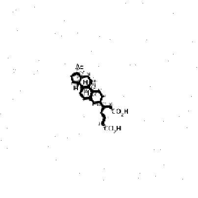 CC(=O)[C@H]1CC[C@H]2[C@@H]3CCC4CC(C(CCCC(=O)O)CC(=O)O)CC[C@]4(C)[C@H]3CC[C@]12C